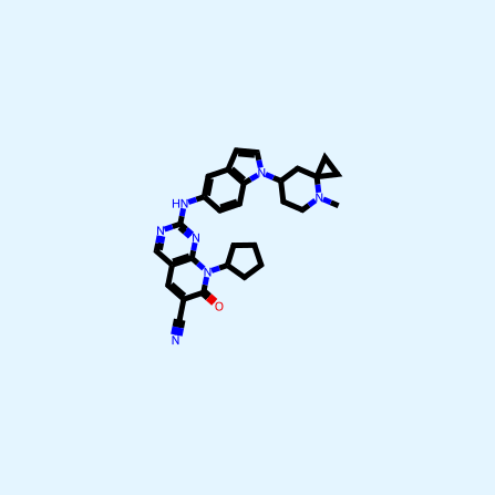 CN1CCC(n2ccc3cc(Nc4ncc5cc(C#N)c(=O)n(C6CCCC6)c5n4)ccc32)CC12CC2